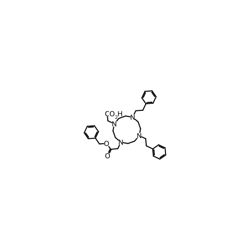 O=C(O)CN1CCN(CCc2ccccc2)CCN(CCc2ccccc2)CCN(CC(=O)OCc2ccccc2)CC1